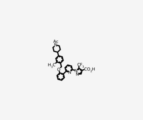 CC(=O)N1CCC(c2ccc(COc3ccccc3-c3cccc(-n4ncc(C(=O)O)c4C(F)(F)F)n3)c(C)c2)CC1